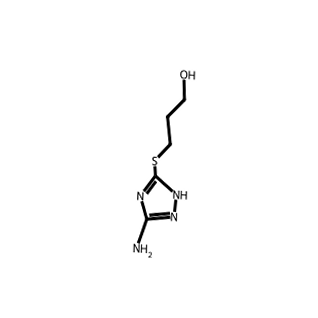 Nc1n[nH]c(SCCCO)n1